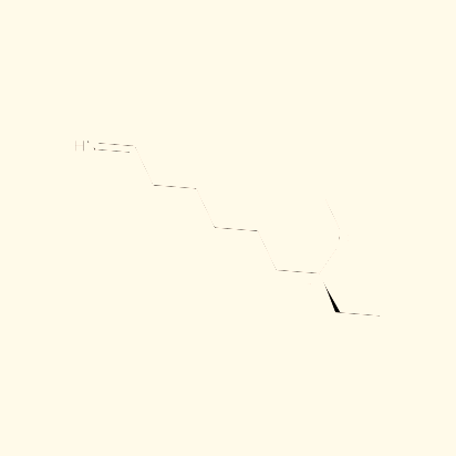 CC[C@@H](CCCCCC=N)OC